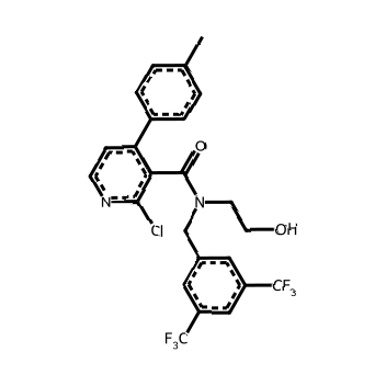 Cc1ccc(-c2ccnc(Cl)c2C(=O)N(CCO)Cc2cc(C(F)(F)F)cc(C(F)(F)F)c2)cc1